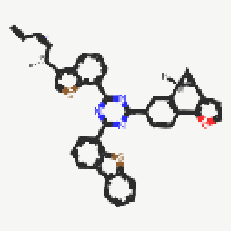 C=C/C=C\[C@@H](C)c1csc2c(-c3nc(-c4cccc5c4sc4ccccc45)nc(C4C=CC5=C(C4)[C@@H]4C=C4c4ccoc45)n3)cccc12